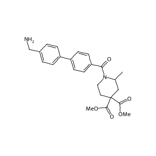 COC(=O)C1(C(=O)OC)CCN(C(=O)c2ccc(-c3ccc(CN)cc3)cc2)C(C)C1